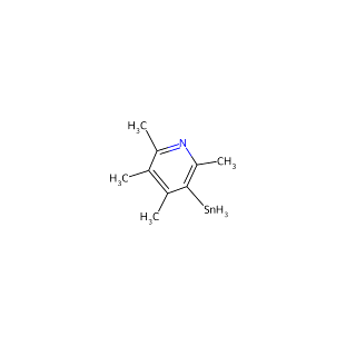 Cc1nc(C)[c]([SnH3])c(C)c1C